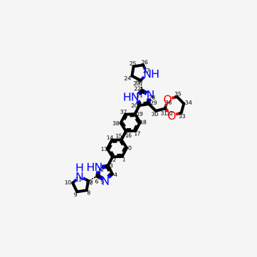 c1cc(-c2cnc([C@@H]3CCCN3)[nH]2)ccc1-c1ccc(-c2[nH]c([C@@H]3CCCN3)nc2CC2OCCCO2)cc1